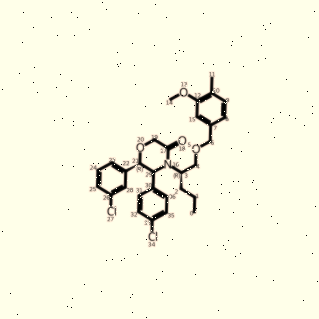 CCC[C@H](COCc1ccc(C)c(OC)c1)N1C(=O)CO[C@H](c2cccc(Cl)c2)C1c1ccc(Cl)cc1